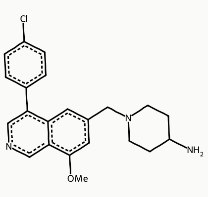 COc1cc(CN2CCC(N)CC2)cc2c(-c3ccc(Cl)cc3)cncc12